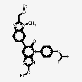 CCOCc1nc2ccc(-c3cc4sc(OCC)nc4n(-c4ccc(OC(F)F)cc4)c3=O)cc2n1C